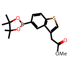 COC(=O)Cc1csc2ccc(B3OC(C)(C)C(C)(C)O3)cc12